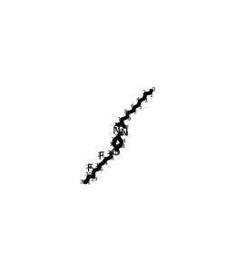 CCCCCCCCCCCc1cnc(-c2ccc(OCCC(F)CCCC(F)CCCC)cc2)nc1